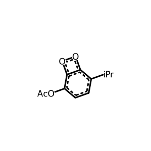 CC(=O)Oc1ccc(C(C)C)c2ooc12